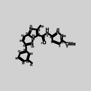 COc1ccc(NC(=O)c2c(C)nc3ccc(-c4cccc(C)c4)nn23)nn1